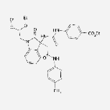 CCOC(=O)c1ccc(NC(=O)NC2(CC(=O)Nc3ccc(C)cc3)C(=O)N(CC(OCC)OCC)c3ccccc32)cc1